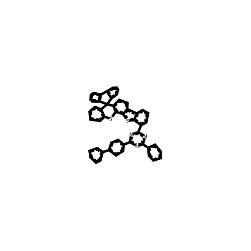 c1ccc(-c2ccc(-c3nc(-c4ccccc4)nc(-c4cccc5c4sc4c6c(ccc45)C4(c5ccccc5S6)c5ccccc5-c5ccccc54)n3)cc2)cc1